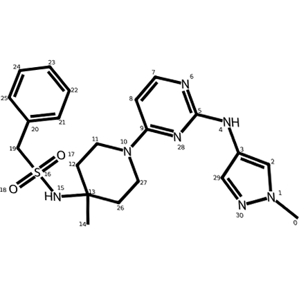 Cn1cc(Nc2nccc(N3CCC(C)(NS(=O)(=O)Cc4ccccc4)CC3)n2)cn1